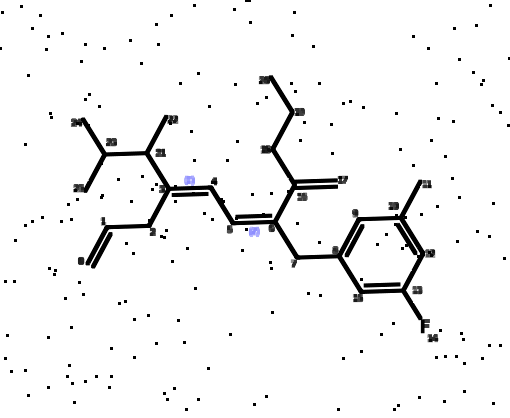 C=CC/C(=C\C=C(\Cc1cc(C)cc(F)c1)C(=C)CCC)C(C)C(C)C